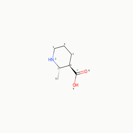 C[C@@H]1NCCC[C@H]1C(=O)O